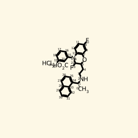 C[C@@H](NCCC1Oc2cc(F)ccc2N(c2cccc(C(=O)O)c2)C1F)c1cccc2ccccc12.Cl